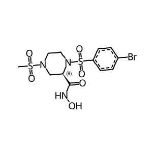 CS(=O)(=O)N1CCN(S(=O)(=O)c2ccc(Br)cc2)[C@@H](C(=O)NO)C1